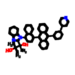 BC(B)(O)C(B)(O)c1nc2ccccc2n1-c1ccc(-c2c3ccccc3c(-c3cccc(-c4ccncc4)c3)c3ccccc23)c2ccccc12